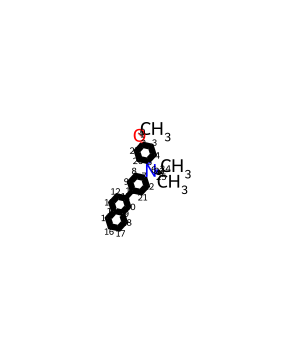 COc1ccc(N(c2ccc(-c3ccc4ccccc4c3)cc2)C(C)C)cc1